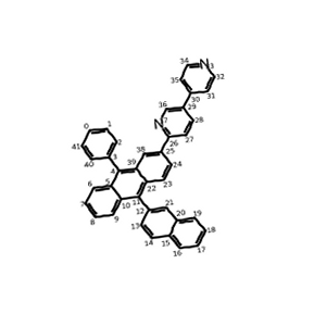 c1ccc(-c2c3ccccc3c(-c3ccc4ccccc4c3)c3ccc(-c4ccc(-c5ccncc5)cn4)cc23)cc1